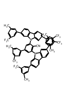 Cc1cc(-c2cc(-n3c4cc(-c5cc(C)cc(C(F)(F)F)c5)ccc4c4ccc(-c5cc(C)cc(C(F)(F)F)c5)cc43)c(C#N)c(-n3c4cc(-c5cc(C)cc(C(F)(F)F)c5)ccc4c4ccc(-c5cc(C)cc(C(F)(F)F)c5)cc43)c2)cc(C(F)(F)F)c1